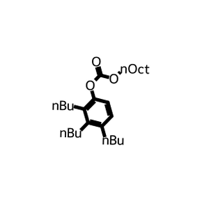 CCCCCCCCOC(=O)Oc1ccc(CCCC)c(CCCC)c1CCCC